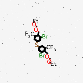 CCOCOCc1c(Br)cc(Sc2cc(Br)c(COCOCC)c(C(F)(F)F)c2)cc1C(F)(F)F